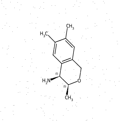 Cc1cc2c(cc1C)[C@H](N)[C@H](C)OC2